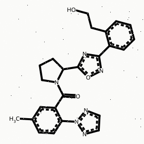 Cc1ccc(-n2nccn2)c(C(=O)N2CCCC2c2nc(-c3ccccc3CCO)no2)c1